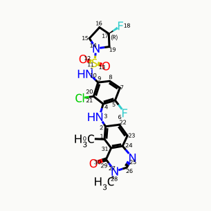 Cc1c(Nc2c(F)ccc(NS(=O)(=O)N3CC[C@@H](F)C3)c2Cl)ccc2ncn(C)c(=O)c12